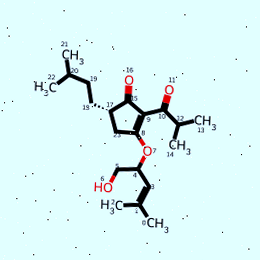 CC(C)=CC(CO)OC1=C(C(=O)C(C)C)C(=O)[C@@H](CCC(C)C)C1